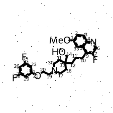 COc1ccc2ncc(F)c(CCCC3(CO)CCN(CCOc4cc(F)cc(F)c4)CC3)c2c1